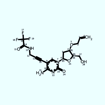 C=CCO[C@@H]1C[C@H](n2cc(C#CCNC(=O)C(F)(F)F)c(N)nc2=O)O[C@@H]1CO